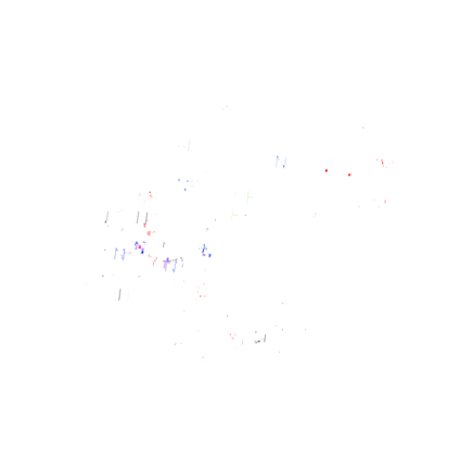 COc1ccc(CN(Cc2ccc(OC)cc2)c2cc(C)c(I)c(-c3nc4c5c(nc(OCC6(CO[Si](C)(C)C(C)(C)C)CC6)nc5c3F)N3C[C@H]5CC[C@@H]([C@H]3[C@H](C)O4)N5C(=O)OC(C)(C)C)c2F)cc1